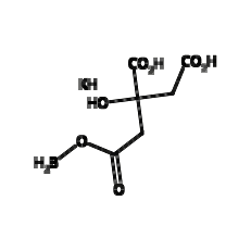 BOC(=O)CC(O)(CC(=O)O)C(=O)O.[KH]